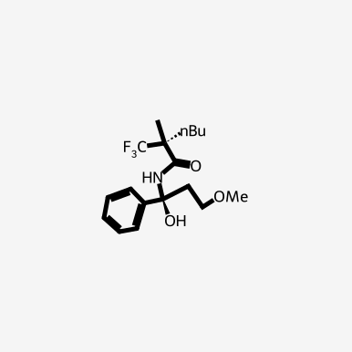 CCCC[C@](C)(C(=O)N[C@](O)(CCOC)c1ccccc1)C(F)(F)F